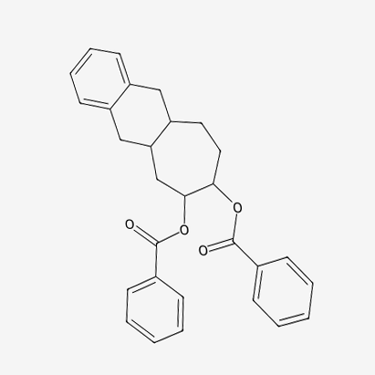 O=C(OC1CCC2Cc3ccccc3CC2CC1OC(=O)c1ccccc1)c1ccccc1